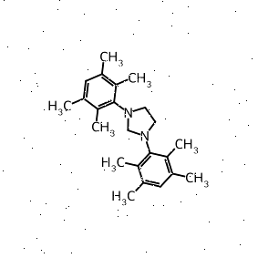 Cc1cc(C)c(C)c(N2CCN(c3c(C)c(C)cc(C)c3C)C2)c1C